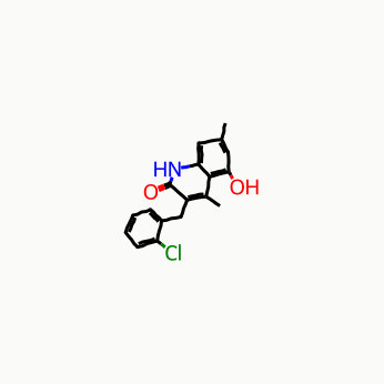 Cc1cc(O)c2c(C)c(Cc3ccccc3Cl)c(=O)[nH]c2c1